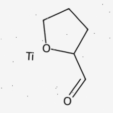 O=CC1CCCO1.[Ti]